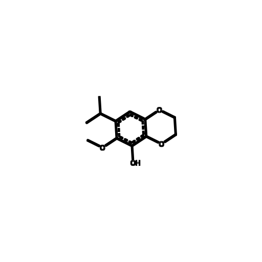 COc1c(C(C)C)cc2c(c1O)OCCO2